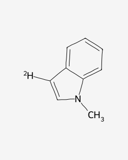 [2H]c1cn(C)c2ccccc12